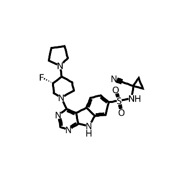 N#CC1(NS(=O)(=O)c2ccc3c(c2)[nH]c2ncnc(N4CCC(N5CCCC5)[C@@H](F)C4)c23)CC1